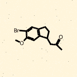 COc1cc2c(cc1Br)CCC2CC(C)=O